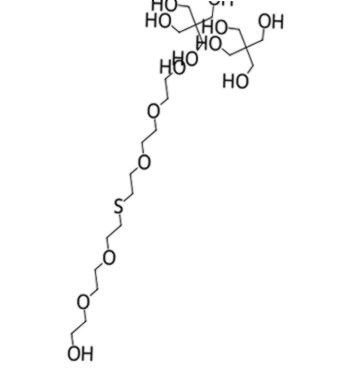 OCC(CO)(CO)CO.OCC(CO)(CO)CO.OCCOCCOCCSCCOCCOCCO